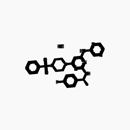 C[C@H](Nc1nc(Nc2cnccn2)cc(N2CCN(S(=O)(=O)c3ccccc3)CC2)n1)c1ccc(F)cc1.Cl